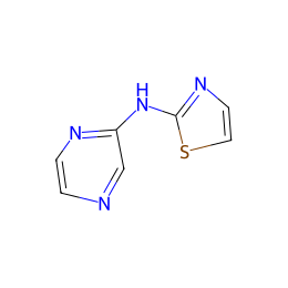 c1cnc(Nc2nccs2)cn1